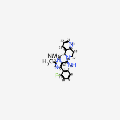 CNn1c(C)nc(-c2ccccc2F)c1C(=N)N1CCc2ncccc2C1